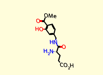 COC(=O)c1ccc(CNC(=O)[C@@H](N)CCC(=O)O)cc1O